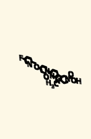 Cn1c2c(c3ccc(-n4ccc(OCc5ccc(F)cn5)cc4=O)nc31)CN(C(=O)O)CC2